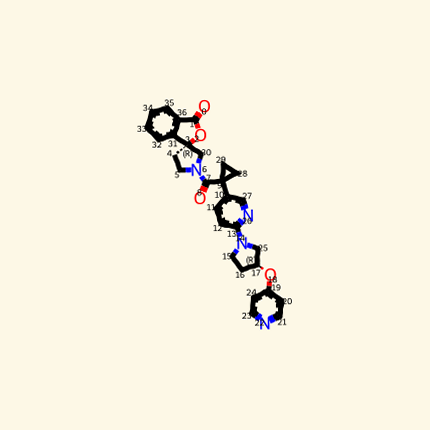 O=C1O[C@]2(CCN(C(=O)C3(c4ccc(N5CC[C@@H](Oc6ccncc6)C5)nc4)CC3)C2)c2ccccc21